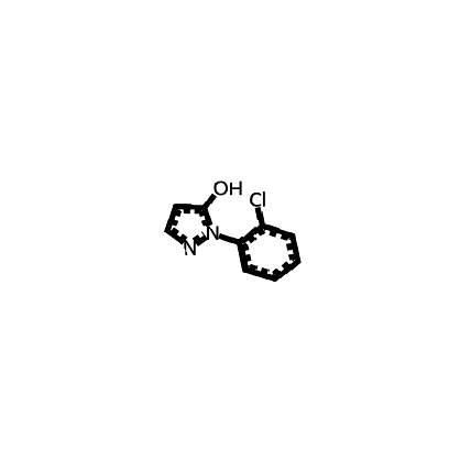 Oc1ccnn1-c1ccccc1Cl